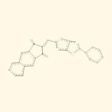 O=C1C(=Cc2nc3sc(-c4ccccc4)nc3o2)C(=O)c2cc3ccccc3cc21